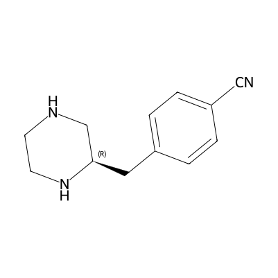 N#Cc1ccc(C[C@@H]2CNCCN2)cc1